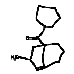 CC1C=C2CCCC(C(=O)N3CCCCC3)(C2)C1